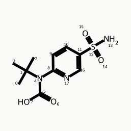 CC(C)(C)N(C(=O)O)c1ccc(S(N)(=O)=O)cn1